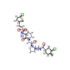 O=C(NC[C@@H]1CCCN1C(=O)CN1CCC[C@H](NS(=O)(=O)/C=C/c2ccc(Cl)s2)C1=O)c1ccc(F)c(Cl)c1